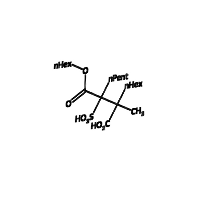 CCCCCCOC(=O)C(CCCCC)(C(C)(CCCCCC)C(=O)O)S(=O)(=O)O